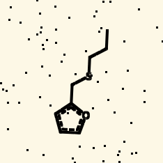 CCCSCc1ccco1